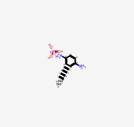 C=C.C=C.C=C.C=C.Nc1ccc(N)cc1.O=[PH]([O-])[O-].[Na+].[Na+]